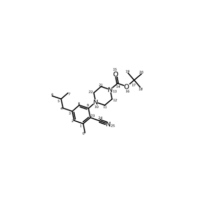 Cc1cc(CC(C)C)cc(N2CCN(C(=O)OC(C)(C)C)CC2)c1C#N